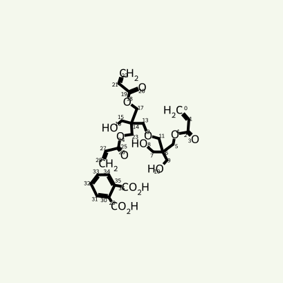 C=CC(=O)OCC(CO)(CO)COCC(CO)(COC(=O)C=C)COC(=O)C=C.O=C(O)c1ccccc1C(=O)O